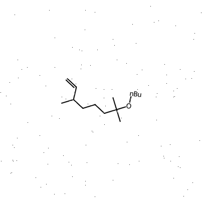 C=CC(C)CCCC(C)(C)OCCCC